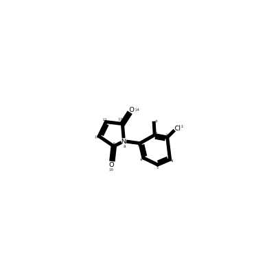 Cc1c(Cl)cccc1N1C(=O)C=CC1=O